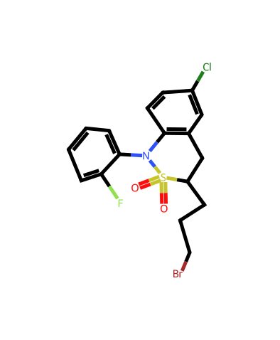 O=S1(=O)C(CCCBr)Cc2cc(Cl)ccc2N1c1ccccc1F